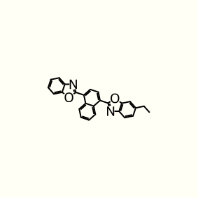 CCc1ccc2nc(-c3ccc(-c4nc5ccccc5o4)c4ccccc34)oc2c1